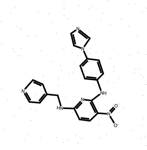 O=[N+]([O-])c1ccc(NCc2ccncc2)nc1Nc1ccc(-n2ccnc2)cc1